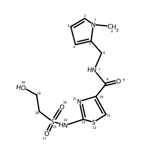 Cn1cccc1CNC(=O)c1csc(NS(=O)(=O)CCO)n1